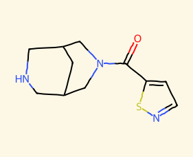 O=C(c1ccns1)N1CC2CNCC(C2)C1